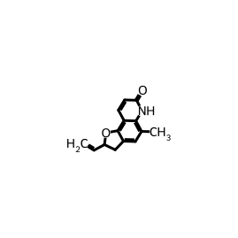 C=CC1Cc2cc(C)c3[nH]c(=O)ccc3c2O1